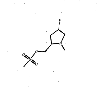 CN1C[C@@H](F)C[C@@H]1COS(C)(=O)=O